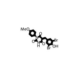 COc1ccc(N2C(=O)NC(=O)/C(=C\c3cc(Br)c(O)c(Br)c3)C2=O)cc1